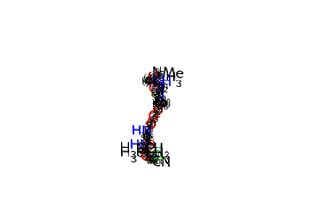 CN[C@@H](C)C(=O)N[C@H](C(=O)N1CCC[C@H]1c1nc(-c2ccc(OCCOCCOCCNc3ccc(C(=O)N[C@H]4C(C)(C)[C@H](Oc5ccc(C#N)c(Cl)c5)C4(C)C)cc3)c3ccccc23)cs1)C1CCCCC1